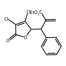 C=C(C(=O)OCC)C(c1ccccc1)C1OC(=O)C(Cl)=C1Cl